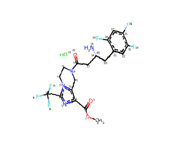 COC(=O)c1nc(C(F)(F)F)n2c1CN(C(=O)C[C@H](N)Cc1cc(F)c(F)cc1F)CC2.Cl